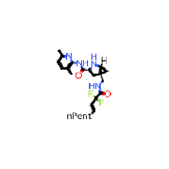 CCCCC/C=C/C(F)(F)C(=O)NC[C@@]12C[C@@H](C(=O)Nc3nc(C)ccc3C)N[C@@H]1C2